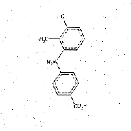 Cc1c(O)cccc1[SiH2]c1ccc(C(=O)O)cc1